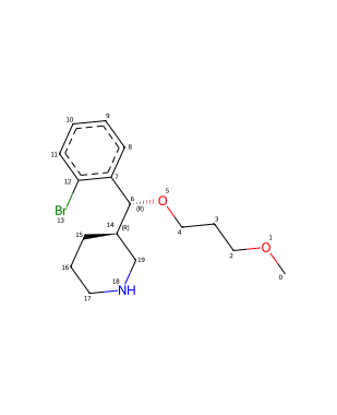 COCCCO[C@@H](c1ccccc1Br)[C@@H]1CCCNC1